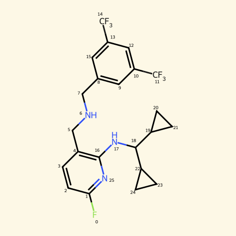 Fc1ccc(CNCc2cc(C(F)(F)F)cc(C(F)(F)F)c2)c(NC(C2CC2)C2CC2)n1